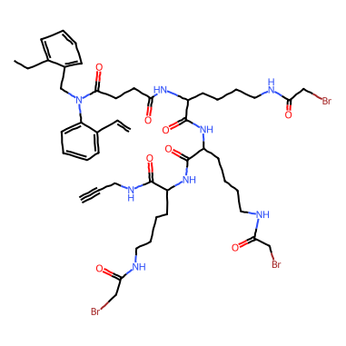 C#CCNC(=O)C(CCCCNC(=O)CBr)NC(=O)C(CCCCNC(=O)CBr)NC(=O)C(CCCCNC(=O)CBr)NC(=O)CCC(=O)N(Cc1ccccc1CC)c1ccccc1C=C